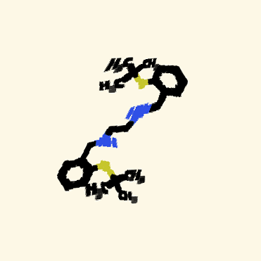 CC(C)(C)Sc1ccccc1CNCCNCc1ccccc1SC(C)(C)C